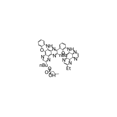 CCCCc1cnc2c3c(c4nc(-c5cccc6c5Oc5c(c7nccnc7c7nc(CC)cnc57)N6)c(CCCC)nc4c2n1)Nc1ccccc1O3.CCCS(=O)(=O)O